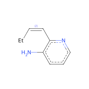 CC/C=C\c1ncccc1N